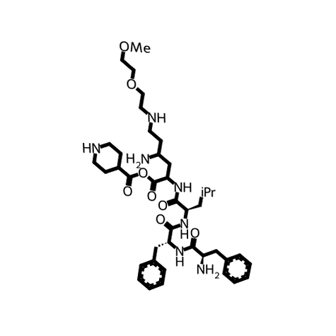 COCCOCCNCCC(N)CC(NC(=O)[C@@H](CC(C)C)NC(=O)[C@@H](Cc1ccccc1)NC(=O)[C@H](N)Cc1ccccc1)C(=O)OC(=O)C1CCNCC1